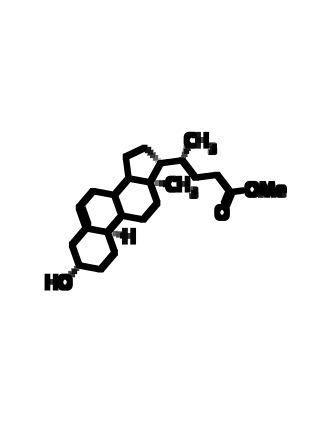 COC(=O)CC[C@@H](C)[C@H]1CCC2C3CC=C4C[C@@H](O)CC[C@@H]4C3CC[C@@]21C